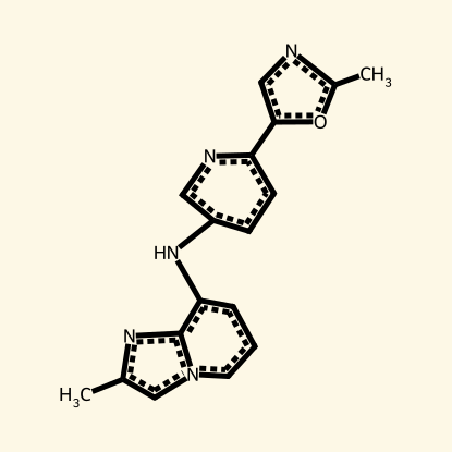 Cc1cn2cccc(Nc3ccc(-c4cnc(C)o4)nc3)c2n1